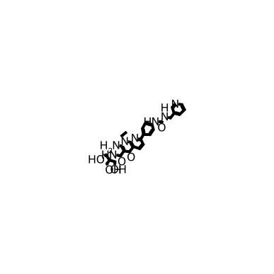 CCn1c(N)c(C(=O)NC(CO)(CO)CO)c(=O)c2ccc(-c3ccc(NC(=O)NCc4cccnc4)cc3)nc21